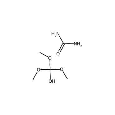 COC(O)(OC)OC.NC(N)=O